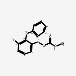 CCNC(=O)OOc1cccc(F)c1Oc1ccccc1